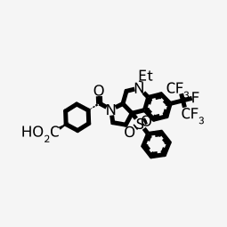 CCN1CC2N(C(=O)[C@H]3CC[C@H](C(=O)O)CC3)CCC2(S(=O)(=O)c2ccccc2)c2ccc(C(F)(C(F)(F)F)C(F)(F)F)cc21